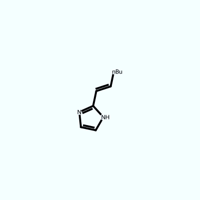 [CH2]CCC/C=C/c1ncc[nH]1